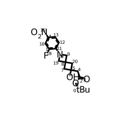 CC(C)(C)OC(=O)CC1(O)CC2(CN(c3ccc([N+](=O)[O-])cc3F)C2)C1